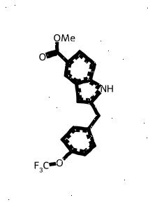 COC(=O)c1ccc2[nH]c(Cc3ccc(OC(F)(F)F)cc3)cc2c1